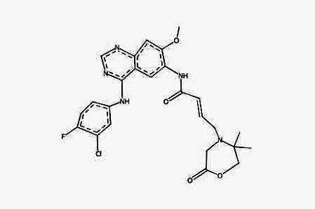 COc1cc2ncnc(Nc3ccc(F)c(Cl)c3)c2cc1NC(=O)C=CCN1CC(=O)OCC1(C)C